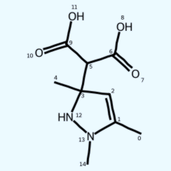 CC1=CC(C)(C(C(=O)O)C(=O)O)NN1C